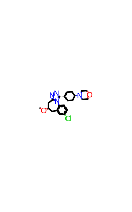 COC1Cc2cc(Cl)ccc2-n2c(nnc2[C@H]2CC[C@H](N3CCOCC3)CC2)C1